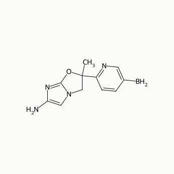 Bc1ccc(C2(C)Cn3cc(N)nc3O2)nc1